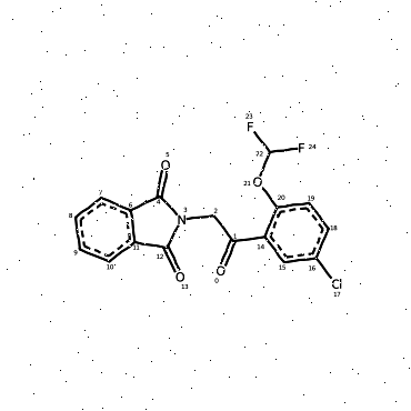 O=C(CN1C(=O)c2ccccc2C1=O)c1cc(Cl)ccc1OC(F)F